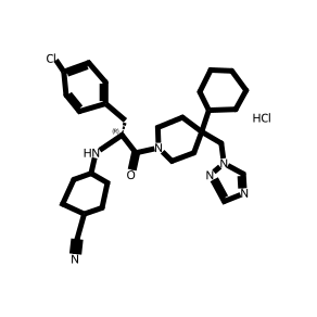 Cl.N#CC1CCC(N[C@H](Cc2ccc(Cl)cc2)C(=O)N2CCC(Cn3cncn3)(C3CCCCC3)CC2)CC1